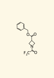 O=C(OCc1ccccc1)C1CN(C(=O)C(F)(F)F)C1